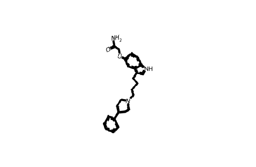 NC(=O)COc1ccc2[nH]cc(CCCCN3CC=C(c4ccccc4)CC3)c2c1